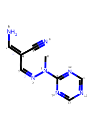 CN(/N=C\C(C#N)=C\N)c1ncncn1